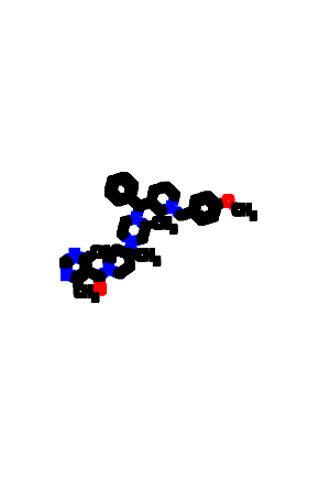 COc1ccc(CN2CCCC(C(c3ccccc3)N3CCN(C4(C)CCN(C(=O)c5c(C)ncnc5C)CC4)C[C@@H]3C)C2)cc1